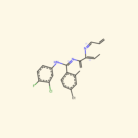 C=C/C=N\C(=C/C)C(=C)/N=C(/Nc1ccc(F)c(Cl)c1)c1ccc(CC)cc1C